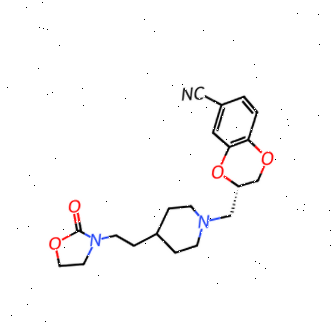 N#Cc1ccc2c(c1)O[C@@H](CN1CCC(CCN3CCOC3=O)CC1)CO2